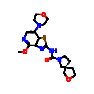 COC1=NC=C(N2CCOCC2)C2SC(NC(=O)N3CC[C@@]4(CCOC4)C3)=NC12